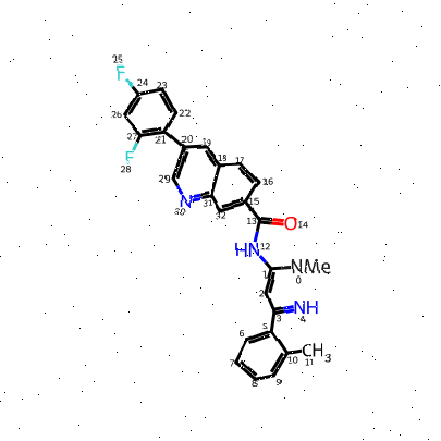 CN/C(=C\C(=N)c1ccccc1C)NC(=O)c1ccc2cc(-c3ccc(F)cc3F)cnc2c1